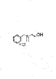 Cl.OC=CNCc1ccccc1